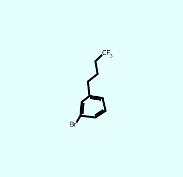 FC(F)(F)CCCc1cccc(Br)c1